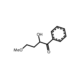 COCCC(O)C(=O)c1ccccc1